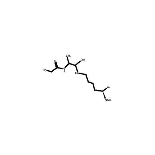 CN[C@@H](CCCCNC(O)C(C)NC(=O)CS)C(C)=O